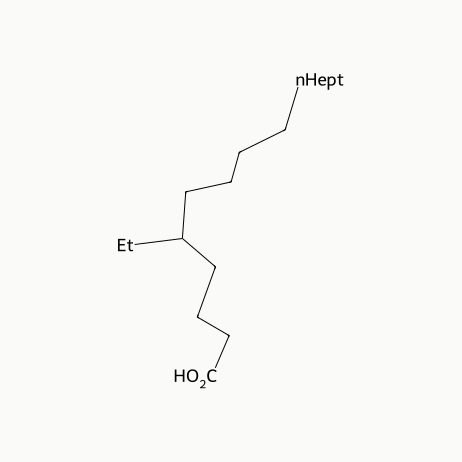 CCCCCCCCCCCC(CC)CCCC(=O)O